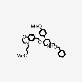 COCCCN1CCOc2ccc(CO[C@H]3CN[C@H](COCc4ccccc4)C[C@@H]3c3ccc(OC)cc3)cc21